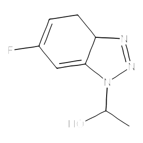 CC(O)N1N=NC2CC=C(F)C=C21